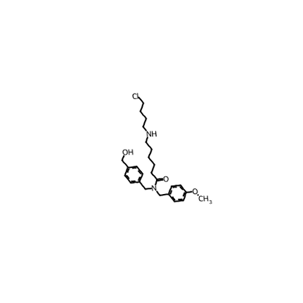 COc1ccc(CN(Cc2ccc(CO)cc2)C(=O)CCCCCNCCCCCl)cc1